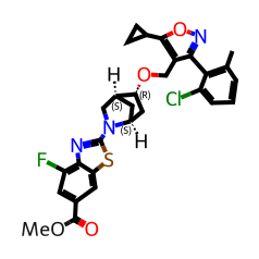 COC(=O)c1cc(F)c2nc(N3C[C@@H]4C[C@H]3C[C@H]4OCc3c(-c4c(C)cccc4Cl)noc3C3CC3)sc2c1